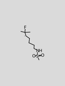 CC(C)(F)[CH]CCCCNS(C)(=O)=O